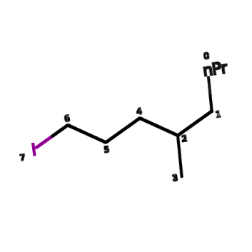 CCCCC(C)CCCI